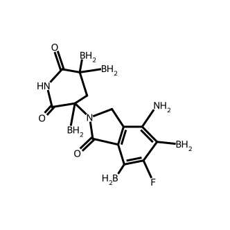 Bc1c(N)c2c(c(B)c1F)C(=O)N(C1(B)CC(B)(B)C(=O)NC1=O)C2